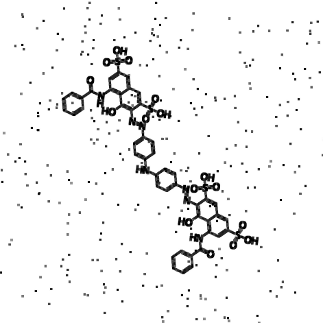 O=C(Nc1cc(S(=O)(=O)O)cc2cc(S(=O)(=O)O)c(/N=N/c3ccc(Nc4ccc(/N=N/c5c(S(=O)(=O)O)cc6cc(S(=O)(=O)O)cc(NC(=O)c7ccccc7)c6c5O)cc4)cc3)c(O)c12)c1ccccc1